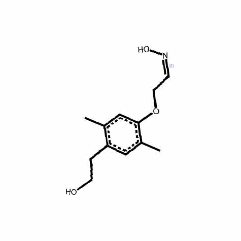 Cc1cc(OC/C=N\O)c(C)cc1CCO